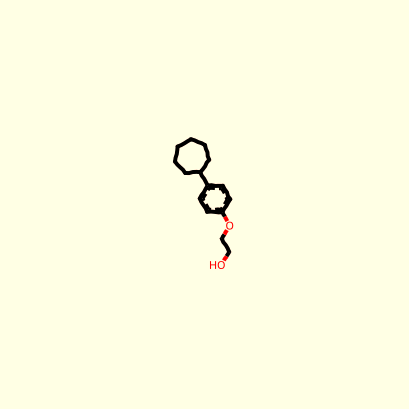 OCCOc1ccc(C2CCCCCC2)cc1